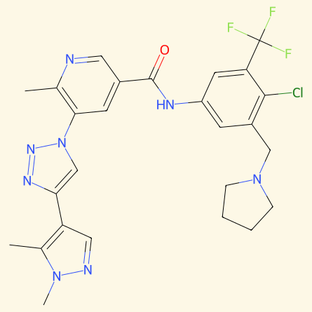 Cc1ncc(C(=O)Nc2cc(CN3CCCC3)c(Cl)c(C(F)(F)F)c2)cc1-n1cc(-c2cnn(C)c2C)nn1